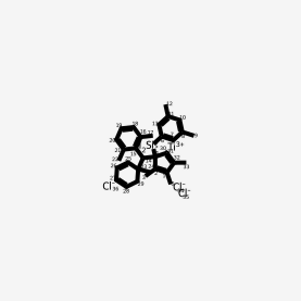 CC1=C(C)C([SiH2]c2cc(C)cc(C)c2)(C(c2c(C)cccc2C)C2(C)C=CC=CC2)[C]([Ti+3])=C1C.[Cl-].[Cl-].[Cl-]